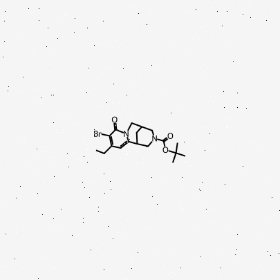 CCc1cc2n(c(=O)c1Br)CC1CC2CN(C(=O)OC(C)(C)C)C1